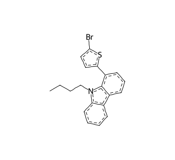 CCCCn1c2ccccc2c2cccc(-c3ccc(Br)s3)c21